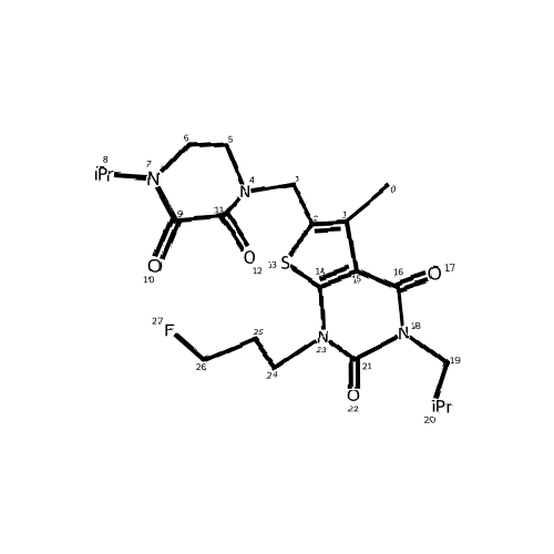 Cc1c(CN2CCN(C(C)C)C(=O)C2=O)sc2c1c(=O)n(CC(C)C)c(=O)n2CCCF